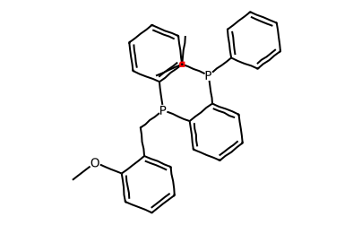 COc1ccccc1CP(c1ccccc1)c1ccccc1P(c1ccccc1)C(C)C